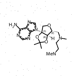 CNCCN(C)C[C@H]1OC[C@]2(n3cnc4c(N)ncnc43)OC(C)(C)O[C@H]12